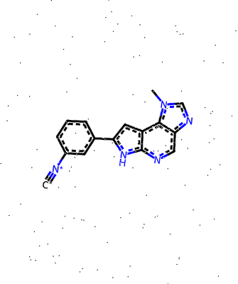 [C-]#[N+]c1cccc(-c2cc3c(ncc4ncn(C)c43)[nH]2)c1